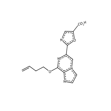 C=CCCOc1nc(-c2ncc(C(=O)O)o2)cn2ccnc12